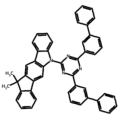 CC1(C)c2ccccc2-c2cc3c(cc21)c1ccccc1n3-c1nc(-c2cccc(-c3ccccc3)c2)nc(-c2cccc(-c3ccccc3)c2)n1